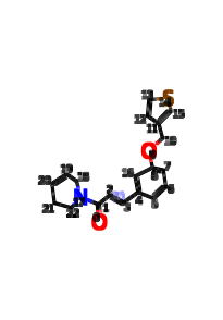 O=C(/C=C/c1cccc(OCc2ccsc2)c1)N1CC=CCC1